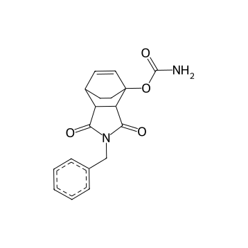 NC(=O)OC12C=CC(CC1)C1C(=O)N(Cc3ccccc3)C(=O)C12